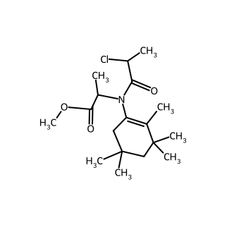 COC(=O)C(C)N(C(=O)C(C)Cl)C1=C(C)C(C)(C)CC(C)(C)C1